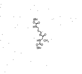 C[C@H](NC(=O)OC(C)(C)C)C(=O)/N=C/SCNC(=O)OC(C)(C)C